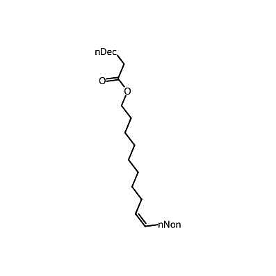 CCCCCCCCC/C=C\CCCCCCCCOC(=O)CCCCCCCCCCC